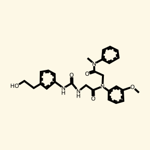 COc1cccc(N(CC(=O)N(C)c2ccccc2)C(=O)CNC(=O)Nc2cccc(CCO)c2)c1